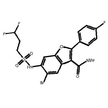 CNC(=O)c1c(-c2ccc(F)cc2)oc2cc(NS(=O)(=O)CCC(F)F)c(Br)cc12